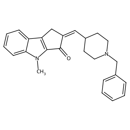 Cn1c2c(c3ccccc31)CC(=CC1CCN(Cc3ccccc3)CC1)C2=O